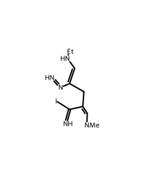 CCN/C=C(/C/C(=C/NC)C(=N)I)N=N